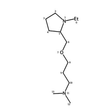 CCN1CCCC1COCCCN(C)C